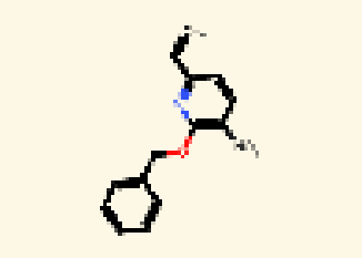 C=Cc1ccc([N+](=O)[O-])c(OCc2ccccc2)n1